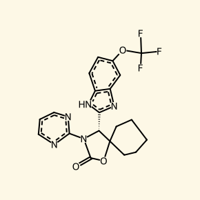 O=C1OC2(CCCCC2)[C@@H](c2nc3cc(OC(F)(F)F)ccc3[nH]2)N1c1ncccn1